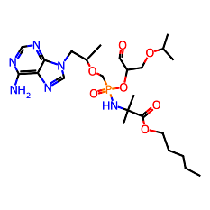 CCCCCOC(=O)C(C)(C)NP(=O)(COC(C)Cn1cnc2c(N)ncnc21)OC(C=O)COC(C)C